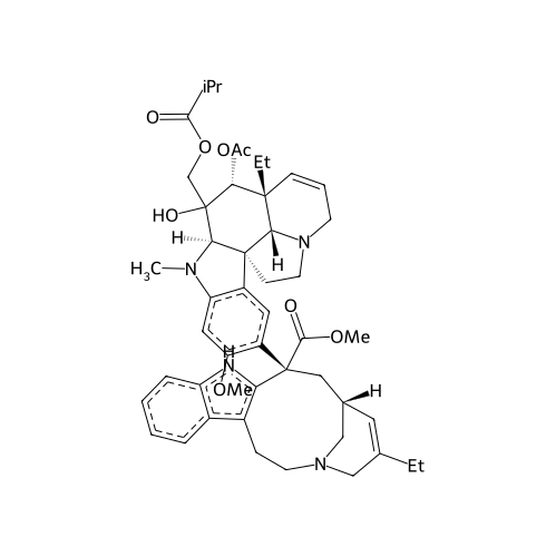 CCC1=C[C@@H]2CN(CCc3c([nH]c4ccccc34)[C@@](C(=O)OC)(c3cc4c(cc3OC)N(C)[C@H]3C(O)(COC(=O)C(C)C)[C@H](OC(C)=O)[C@]5(CC)C=CCN6CC[C@]43[C@@H]65)C2)C1